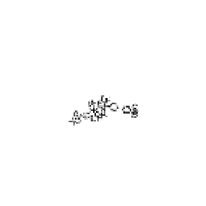 CC(C)C[C@H](NC(c1ccc(-c2ccc(S(C)(=O)=O)cc2)cc1)C(F)(F)F)C(=O)NC1CN(C(=O)OC(C)(C)C)CC1O